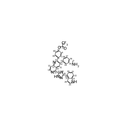 CN.O=C(Oc1ccc(-c2nc3ccnc(-c4nc(-c5cccc6[nH]ccc56)n[nH]4)c3cc2-c2ccccc2)cc1)C(F)(F)F